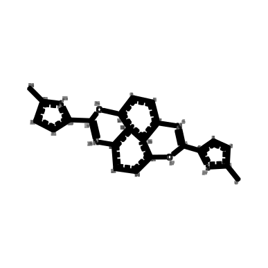 Cc1ccc(C2=Nc3ccc4c5c(ccc(c35)O2)N=C(c2ccc(C)s2)O4)s1